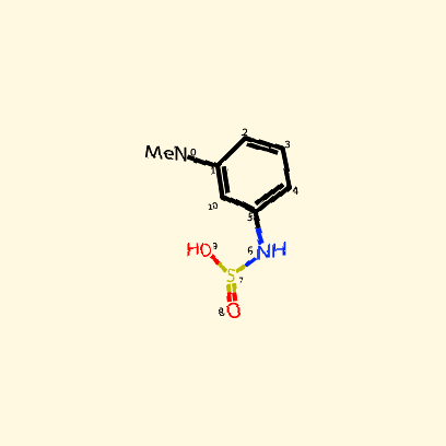 CNc1cccc(NS(=O)O)c1